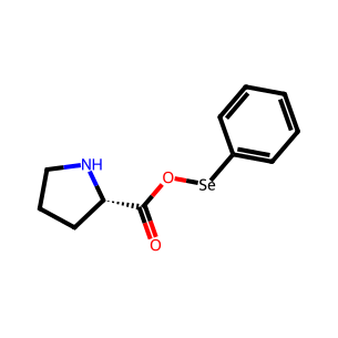 O=C(O[Se]c1ccccc1)[C@@H]1CCCN1